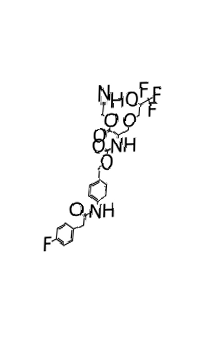 N#CCOC(=O)C(COCC(O)C(F)(F)F)NC(=O)OCc1ccc(NC(=O)Cc2ccc(F)cc2)cc1